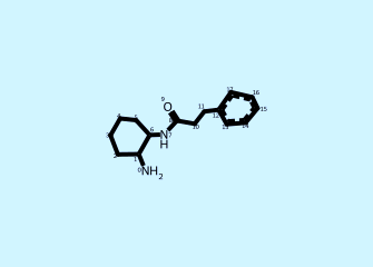 NC1CCC[CH]C1NC(=O)CCc1ccccc1